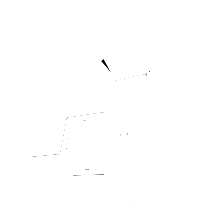 CC(C)C(=O)[C@H](O)c1cc(F)cc(F)c1